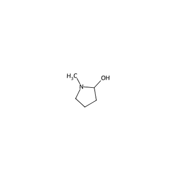 CN1CCCC1O